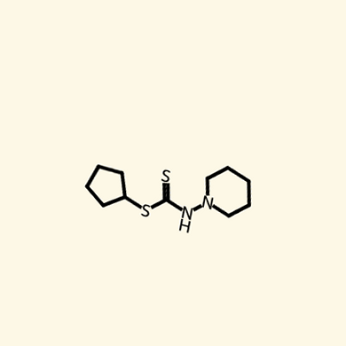 S=C(NN1CCCCC1)SC1CCCC1